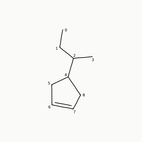 CCC(C)C1CC=CC1